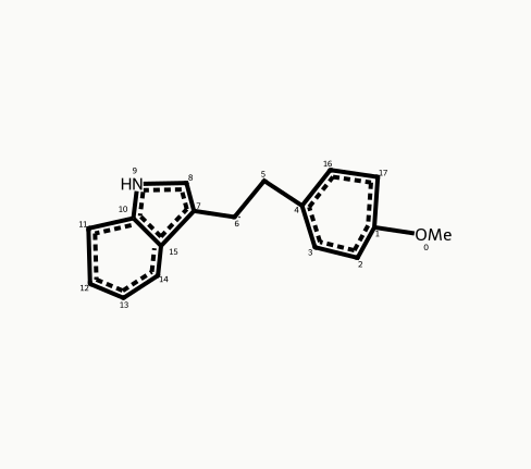 COc1ccc(C[CH]c2c[nH]c3ccccc23)cc1